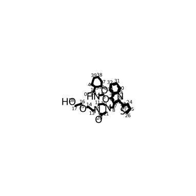 C[C@H](NC(=O)Oc1c(CN2CCN(CCOCCO)C(=O)C2)c(-c2cccs2)nc2ccccc12)C1CCCCC1